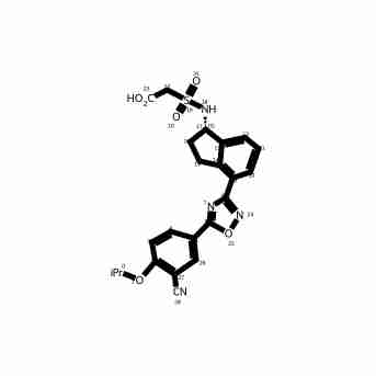 CC(C)Oc1ccc(-c2nc(-c3cccc4c3CC[C@@H]4NS(=O)(=O)CC(=O)O)no2)cc1C#N